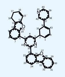 C1=CC(c2cc(-c3cccc4c5c(oc34)C=CCC5)nc(-c3cccc4c3oc3ccccc34)n2)CC(c2cccnc2)=C1